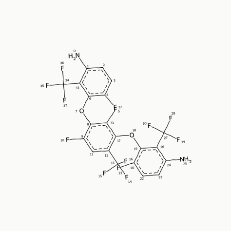 Nc1ccc(F)c(Oc2c(F)cc(C(F)(F)F)c(Oc3c(F)ccc(N)c3C(F)(F)F)c2F)c1C(F)(F)F